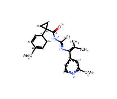 CC/C(=N\C(=C(C)C)c1ccnc(OC)c1)NC(=O)C1(C2C=CC(OC)=CC2)CC1